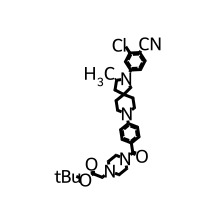 C[C@H]1CC2(CCN(c3ccc(C(=O)N4CCN(CC(=O)OC(C)(C)C)CC4)cc3)CC2)CN1c1ccc(C#N)c(Cl)c1